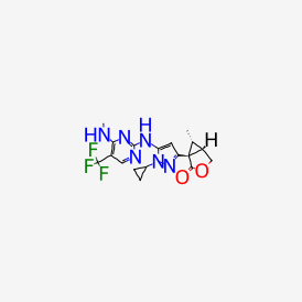 CNc1nc(Nc2cc([C@]34C(=O)OC[C@H]3[C@H]4C)nn2C2CC2)ncc1C(F)(F)F